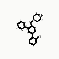 Clc1ccccc1-c1ccc(CN2CCNCC2)c(-c2ccccc2)c1